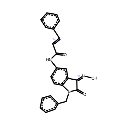 O=C(/C=C/c1ccccc1)Nc1ccc2c(c1)/C(=N/O)C(=O)N2Cc1ccccc1